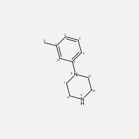 Cc1cccc(N2CCNCC2)c1